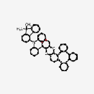 CC1(C)c2ccccc2-c2c(N(c3ccccc3)c3ccccc3-c3cccc4oc5c(ccc6c7ccccc7c7ccccc7c7ccccc7c65)oc34)cccc21